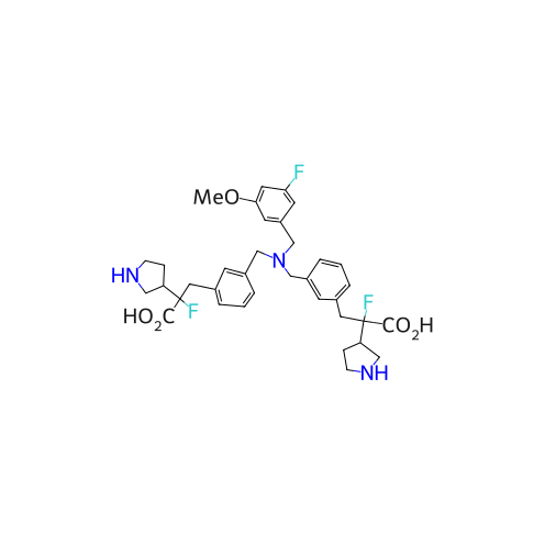 COc1cc(F)cc(CN(Cc2cccc(CC(F)(C(=O)O)C3CCNC3)c2)Cc2cccc(CC(F)(C(=O)O)C3CCNC3)c2)c1